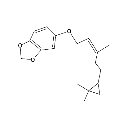 CC(=CCOc1ccc2c(c1)OCO2)CCC1CC1(C)C